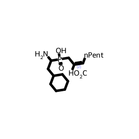 CCCCC/C=C(\CP(=O)(O)C(N)CC1CCCCC1)C(=O)O